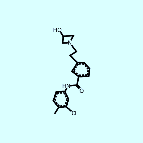 Cc1ccc(NC(=O)c2cccc(CCN3CC(O)C3)c2)cc1Cl